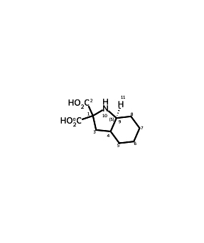 O=C(O)C1(C(=O)O)CC2CCCC[C@@H]2N1